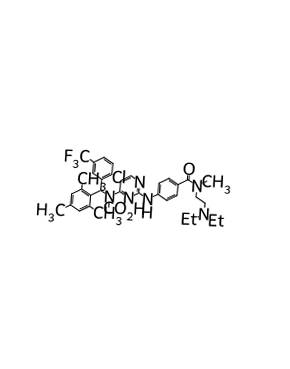 CCN(CC)CCN(C)C(=O)c1ccc(Nc2nccc(N(C(=O)O)C(c3cc(C(F)(F)F)ccc3Cl)c3c(C)cc(C)cc3C)n2)cc1